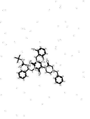 CC(C)(C)OC(=O)N[C@@H](Cn1c(=O)c(N2CCN(Cc3ccccc3)CC2=O)cn(Cc2c(F)cccc2F)c1=O)c1ccccc1